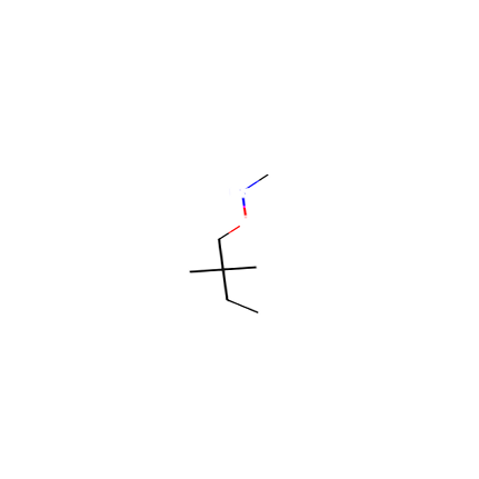 CCC(C)(C)CONC